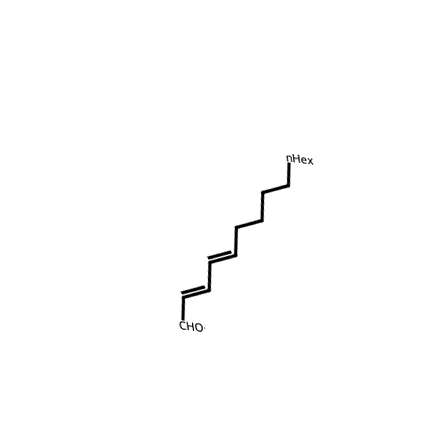 CCCCCCCCCCC=CC=C[C]=O